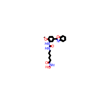 COc1ccc(-c2nc3ccccc3o2)cc1NC(=O)NCCCCCC(=O)NO